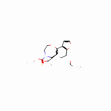 COCO[C@@H]1C[C@@]23CN(C(=O)OC(C)(C)C)CCO[C@@]2(CC=C3[C@@H](C)OS)c2ccoc21